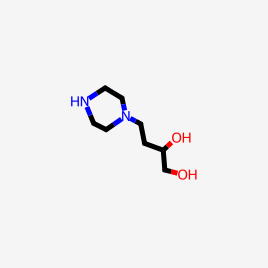 OCC(O)CCN1CCNCC1